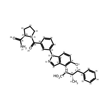 C[C@H](NC(=O)O)[C@H](Oc1ccc2c(cnn2-c2cccc(C(=O)N3CCC[C@@H]3C(N)=O)c2)c1)c1ccccc1